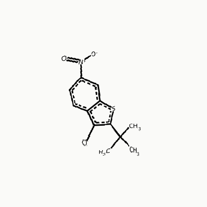 CC(C)(C)c1sc2cc([N+](=O)[O-])ccc2c1Cl